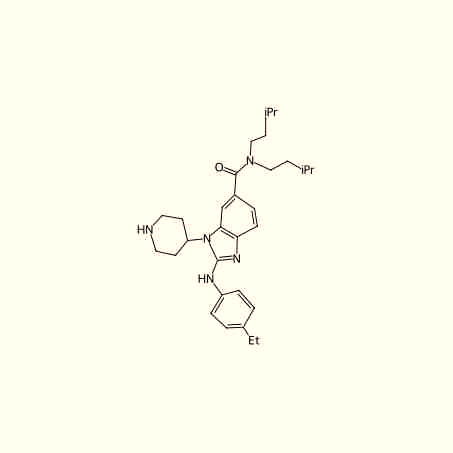 CCc1ccc(Nc2nc3ccc(C(=O)N(CCC(C)C)CCC(C)C)cc3n2C2CCNCC2)cc1